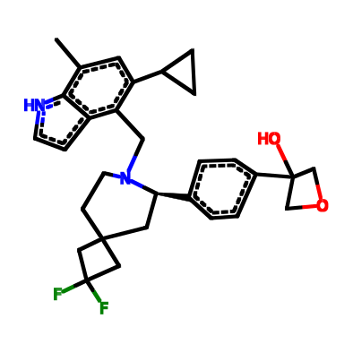 Cc1cc(C2CC2)c(CN2CCC3(C[C@@H]2c2ccc(C4(O)COC4)cc2)CC(F)(F)C3)c2cc[nH]c12